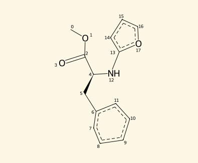 COC(=O)[C@H](Cc1ccccc1)Nc1ccco1